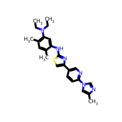 CCN(CC)c1cc(Nc2nc(-c3ccc(-n4cnc(C)c4)nc3)cs2)c(C)cc1C